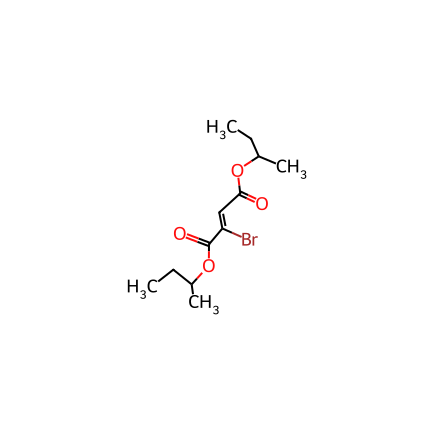 CCC(C)OC(=O)C=C(Br)C(=O)OC(C)CC